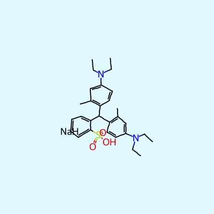 CCN(CC)c1ccc(C(c2ccc(N(CC)CC)cc2C)c2ccccc2S(=O)(=O)O)c(C)c1.[NaH]